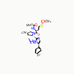 [C-]#[N+][C@H]1C[C@@H](c2ncc(-c3ccc(Br)cc3)[nH]2)N(C(=O)[C@H](CCSOOC)NC(=O)OC)C1